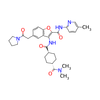 Cc1ccc(NC(=O)c2oc3ccc(CC(=O)N4CCCC4)cc3c2NC(=O)[C@H]2CC[C@H](C(=O)N(C)C)CC2)nc1